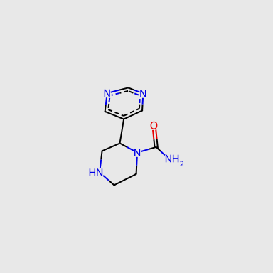 NC(=O)N1CCNCC1c1cncnc1